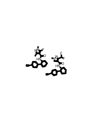 C#Cc1ccc(-c2ccccc2NC(=O)c2c(C)nn(C)c2F)cc1.C#Cc1ccc(-c2ccccc2NC(=O)c2cn(C)nc2C(F)F)cc1